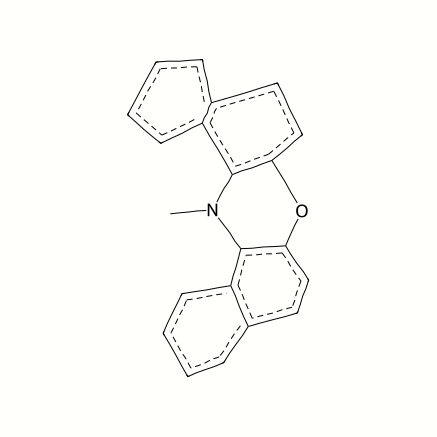 CN1c2c(ccc3ccccc23)Oc2ccc3ccccc3c21